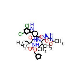 CCC(C)C(NC(=O)OCc1ccccc1)C(=O)N[C@]1(C(=O)NC(c2nnc(NC(C)=O)o2)C(C)CC)CCc2[nH]c3c(Cl)cc(Cl)cc3c2C1